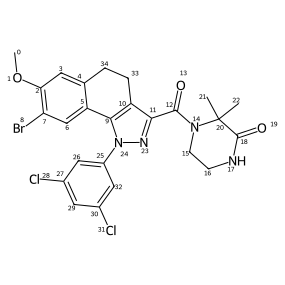 COc1cc2c(cc1Br)-c1c(c(C(=O)N3CCNC(=O)C3(C)C)nn1-c1cc(Cl)cc(Cl)c1)CC2